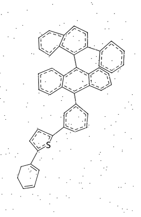 C1=CCCC(c2ccc(-c3cccc(-c4c5ccccc5c(-c5c(-c6ccccc6)ccc6ccccc56)c5ccccc45)c3)s2)=C1